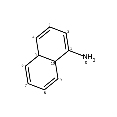 NC1=CC=CC2C=CC=CC12